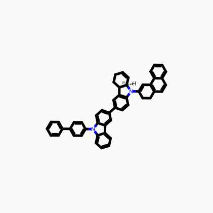 C1=C[C@@H]2C(CC1)c1cc(-c3ccc4c(c3)c3ccccc3n4-c3ccc(-c4ccccc4)cc3)ccc1N2C1=Cc2c(ccc3ccccc23)CC1